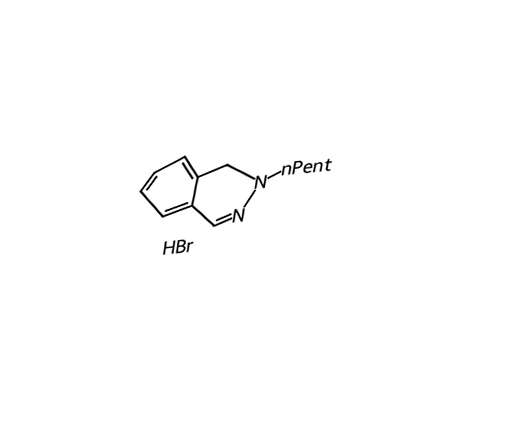 Br.CCCCCN1Cc2ccccc2C=N1